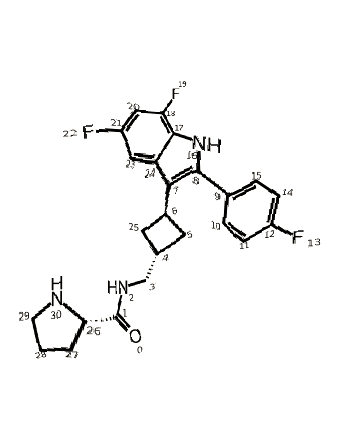 O=C(NC[C@H]1C[C@H](c2c(-c3ccc(F)cc3)[nH]c3c(F)cc(F)cc32)C1)[C@@H]1CCCN1